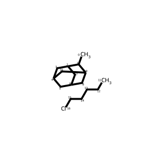 CC1C2CC3CC(C2)CC1C3.CCCCCCl